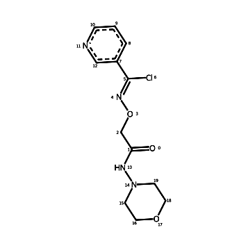 O=C(CON=C(Cl)c1cccnc1)NN1CCOCC1